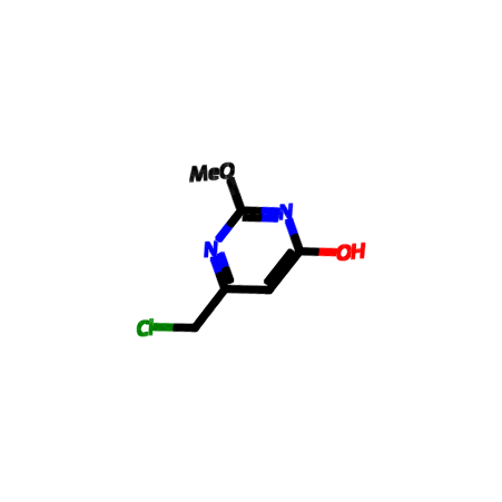 COc1nc(O)cc(CCl)n1